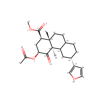 COC(=O)[C@@H]1C[C@H](OC(C)=O)C(=O)[C@@H]2C3C[C@@H](c4ccoc4)CCC3CC[C@]21C